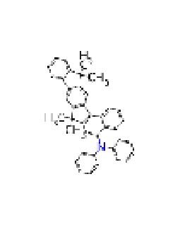 CC1(C)c2ccccc2-c2cc3c(cc21)-c1c(cc(N(c2ccccc2)c2ccccc2)c2ccccc12)C3(C)C